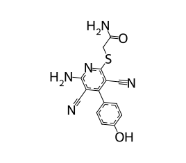 N#Cc1c(N)nc(SCC(N)=O)c(C#N)c1-c1ccc(O)cc1